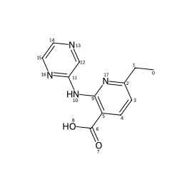 CCc1ccc(C(=O)O)c(Nc2cnccn2)n1